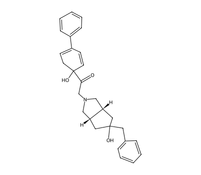 O=C(CN1C[C@@H]2CC(O)(Cc3ccccc3)C[C@@H]2C1)C1(O)C=CC(c2ccccc2)=CC1